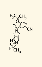 C[C@H](Oc1ccc(C#N)cc1C(=O)N1Cc2cn(CC(C)(C)F)nc2C1)C(F)(F)F